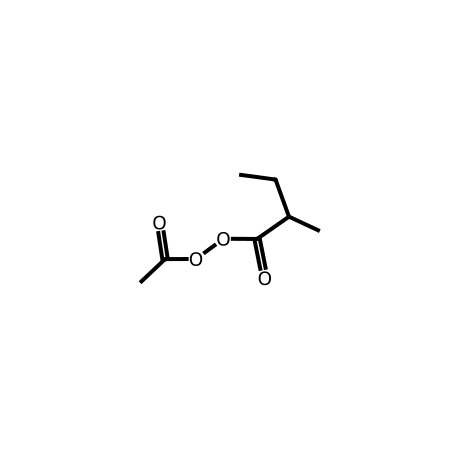 CCC(C)C(=O)OOC(C)=O